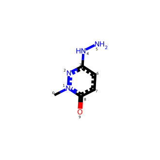 Cn1nc(NN)ccc1=O